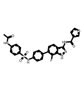 CC(=O)Nc1ccc(S(=O)(=O)Nc2ccc(-c3ccc4c(NC(=O)c5ccsc5)n[nH]c4c3F)cc2)cc1